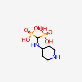 O=P(O)(O)C(NC1CCNCC1)P(=O)(O)O